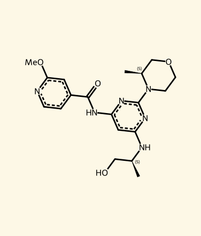 COc1cc(C(=O)Nc2cc(N[C@@H](C)CO)nc(N3CCOC[C@@H]3C)n2)ccn1